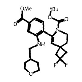 COC(=O)c1ccc(C2=CC3(CCN2C(=O)OC(C)(C)C)CC(F)(F)C3)c(NCC2CCOCC2)c1